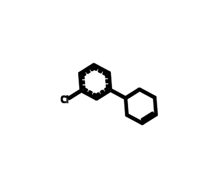 Clc1cccc(C2CC=CCC2)c1